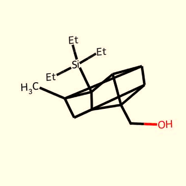 CC[Si](CC)(CC)C12C3C4C5C(C1C53CO)C42C